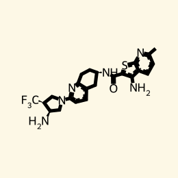 Cc1ccc2c(N)c(C(=O)N[C@H]3CCc4nc(N5C[C@@H](N)[C@H](C(F)(F)F)C5)ccc4C3)sc2n1